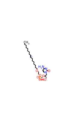 CCCCCCCC/C=C/CCCCCCCOCCOP(=O)(O)CO[C@H](CO)Cn1ccc(N)nc1=O